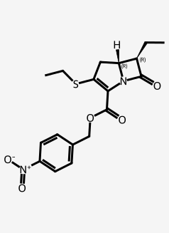 CCSC1=C(C(=O)OCc2ccc([N+](=O)[O-])cc2)N2C(=O)[C@H](CC)[C@H]2C1